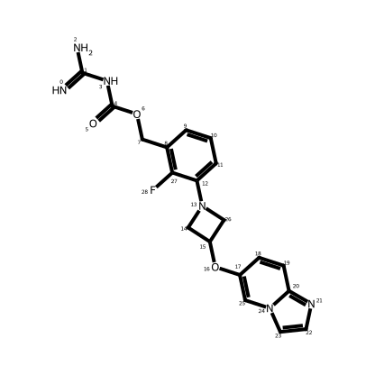 N=C(N)NC(=O)OCc1cccc(N2CC(Oc3ccc4nccn4c3)C2)c1F